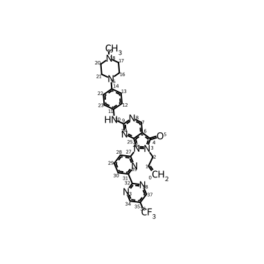 C=CCn1c(=O)c2cnc(Nc3ccc(N4CCN(C)CC4)cc3)nc2n1-c1cccc(-c2ncc(C(F)(F)F)cn2)n1